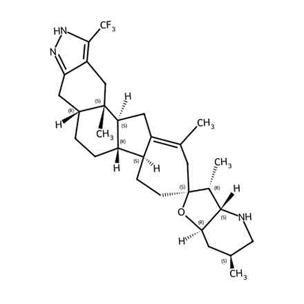 CC1=C2C[C@H]3[C@@H](CC[C@@H]4Cc5n[nH]c(C(F)(F)F)c5C[C@@]43C)[C@@H]2CC[C@@]2(C1)O[C@@H]1C[C@H](C)CN[C@H]1[C@H]2C